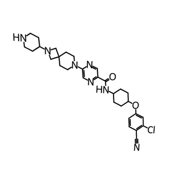 N#Cc1ccc(OC2CCC(NC(=O)c3cnc(N4CCC5(CC4)CN(C4CCNCC4)C5)cn3)CC2)cc1Cl